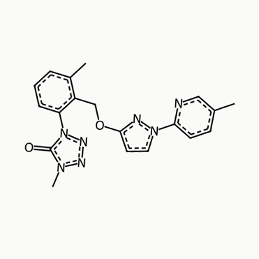 Cc1ccc(-n2ccc(OCc3c(C)cccc3-n3nnn(C)c3=O)n2)nc1